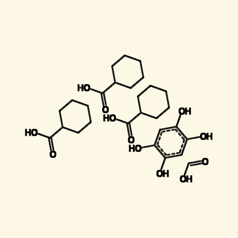 O=C(O)C1CCCCC1.O=C(O)C1CCCCC1.O=C(O)C1CCCCC1.O=CO.Oc1cc(O)c(O)cc1O